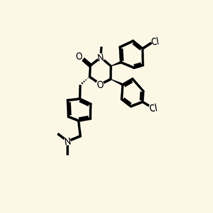 CN(C)Cc1ccc(C[C@H]2O[C@H](c3ccc(Cl)cc3)[C@H](c3ccc(Cl)cc3)N(C)C2=O)cc1